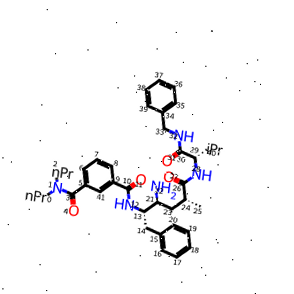 CCCN(CCC)C(=O)c1cccc(C(=O)N[C@@H](Cc2ccccc2)[C@@H](N)C[C@@H](C)C(=O)N[C@H](C(=O)NCc2ccccc2)C(C)C)c1